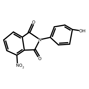 O=C1c2cccc([N+](=O)[O-])c2C(=O)N1c1ccc(O)cc1